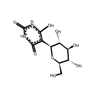 O=c1[nH]c(O)c([C@@H]2O[C@H](CO)[C@@H](O)[C@H](O)[C@H]2O)c(=O)[nH]1